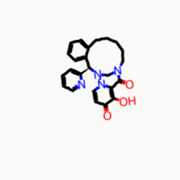 O=C1c2c(O)c(=O)ccn2N2CN1CCCCCc1ccccc1[C@@H]2c1ccccn1